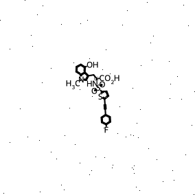 Cn1cc(C[C@H](NS(=O)(=O)c2ccc(C#Cc3ccc(F)cc3)s2)C(=O)O)c2c(O)cccc21